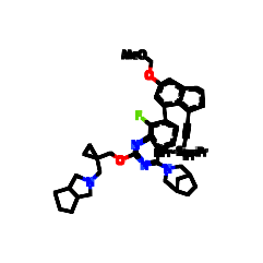 COCOc1cc(-c2ccc3c(N4CC5CCC(C5)C4)nc(OCC4(CN5CC6CCCC6C5)CC4)nc3c2F)c2c(C#C[Si](C(C)C)(C(C)C)C(C)C)cccc2c1